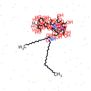 CCCCCCCC/C=C\CCCCCCCCCCCCCC(=O)N[C@@H](CO[C@@H]1OC(CO)[C@@H](O[C@@H]2OC(CO)[C@H](O)[C@H](O[C@@H]3OC(CO)[C@@H](O[C@@H]4OC(CO)[C@H](O)[C@H](O[C@@H]5OC(CO)[C@@H](O[C@@H]6OC(CO)[C@H](O)[C@H](O[C@H]7OC(CO)[C@H](O)[C@H](O)C7O)C6O[C@H]6OC(C)[C@@H](O)C(O)[C@@H]6O)[C@H](O)C5NC(C)=O)C4O)[C@H](O)C3NC(C)=O)C2O)[C@H](O)C1O)[C@H](O)/C=C/CCCCCCCCCCCCC